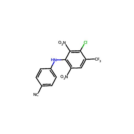 N#Cc1ccc(Nc2c([N+](=O)[O-])cc(C(F)(F)F)c(Cl)c2[N+](=O)[O-])cc1